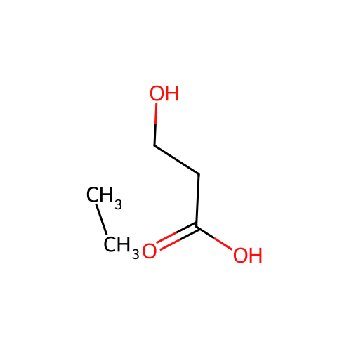 CC.O=C(O)CCO